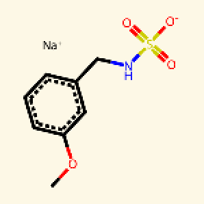 COc1cccc(CNS(=O)(=O)[O-])c1.[Na+]